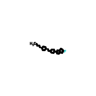 CCCCC[C@H]1CC[C@H](CCC2CCC(c3ccc4cc(F)ccc4c3)CC2)CC1